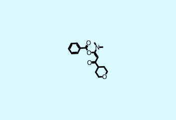 CN(C)C(=CC(=O)C1CCOCC1)OC(=O)c1ccccc1